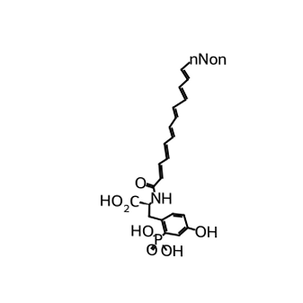 CCCCCCCCCC=CC=CC=CC=CC=CC=CC(=O)N[C@@H](Cc1ccc(O)cc1P(=O)(O)O)C(=O)O